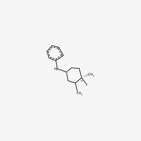 CC1CN(Bc2ccccc2)CC[C@@]1(C)F